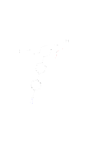 CCCC1CCC(CCC)(C(=O)O)CC1c1ccc(-c2ccc(C#N)cc2)cc1